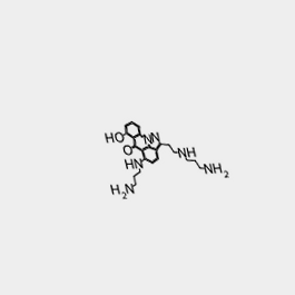 NCCCNCCc1nn2c3cccc(O)c3c(=O)c3c(NCCCN)ccc1c32